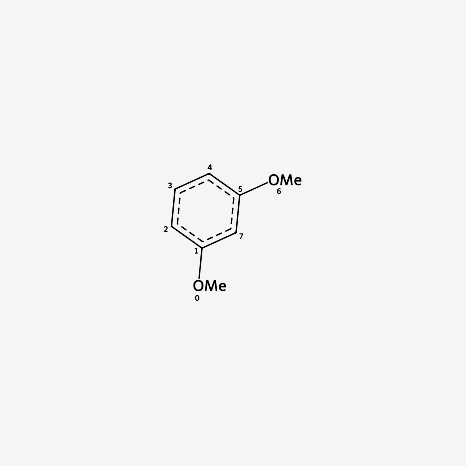 [CH2]Oc1cccc(OC)c1